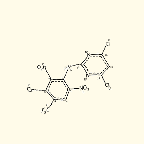 O=[N+]([O-])c1cc(C(F)(F)F)c(Cl)c([N+](=O)[O-])c1Nc1nc(Cl)cc(Cl)n1